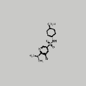 CN(C)c1ncc(S(=O)(=O)N[C@H]2CC[C@H](C(=O)O)CC2)cc1Br